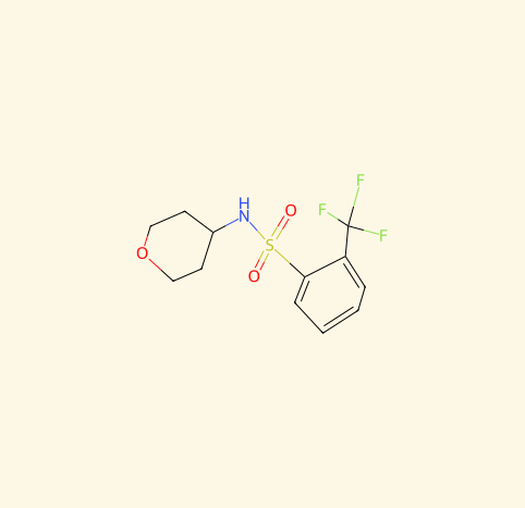 O=S(=O)(NC1CCOCC1)c1ccccc1C(F)(F)F